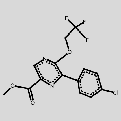 COC(=O)c1cnc(OCC(F)(F)F)c(-c2ccc(Cl)cc2)n1